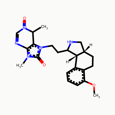 COc1cccc2c1CC[C@H]1CNC(CCn3c4c(n(C)c3=O)N=C[N+](=O)C4C)[C@@H]21